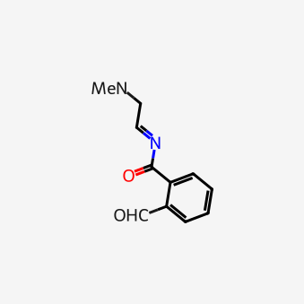 CNCC=NC(=O)c1ccccc1C=O